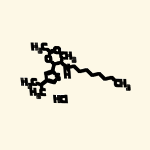 CCCCCCCCNC(C)C(OC(C)=O)c1cc(C(C)C)cs1.Cl